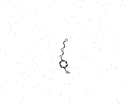 CCC(C)c1ccc(OCOCCCl)cc1